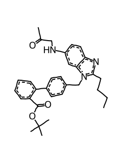 CCCCc1nc2ccc(NCC(C)=O)cc2n1Cc1ccc(-c2ccccc2C(=O)OC(C)(C)C)cc1